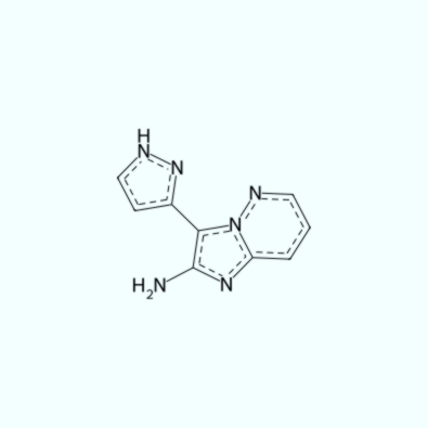 Nc1nc2cccnn2c1-c1cc[nH]n1